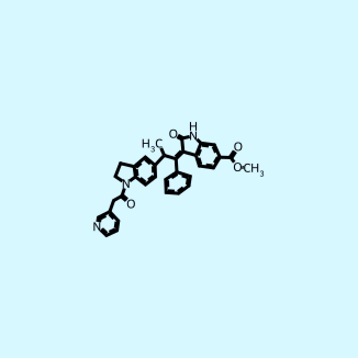 COC(=O)c1ccc2c(c1)NC(=O)/C2=C(/c1ccccc1)C(C)c1ccc2c(c1)CCN2C(=O)Cc1cccnc1